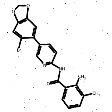 Cc1cccc(C(=O)Nc2ccc(-c3cc4c(cc3Br)OCO4)cn2)c1C